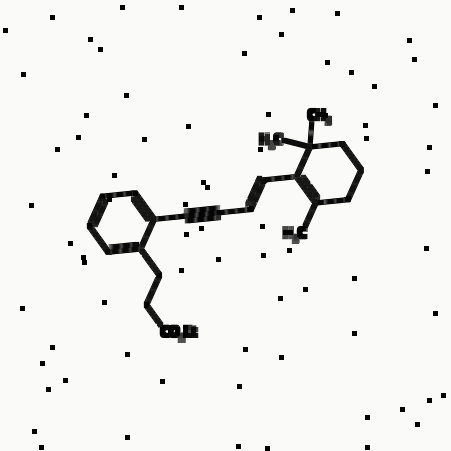 CCOC(=O)CCc1ccccc1C#CC=CC1=C(C)CCCC1(C)C